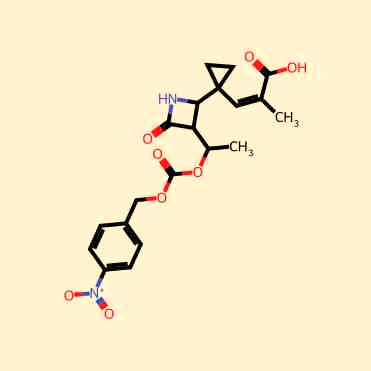 CC(=CC1(C2NC(=O)C2C(C)OC(=O)OCc2ccc([N+](=O)[O-])cc2)CC1)C(=O)O